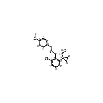 COc1ccc(COCc2c(Cl)cccc2C2(C=O)CC2)cc1